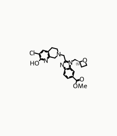 COC(=O)c1ccc2nc(CN3CCc4cc(Cl)c(O)nc4C3)n(C[C@@H]3CCO3)c2c1